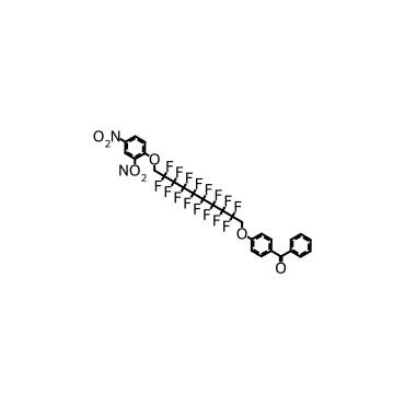 O=C(c1ccccc1)c1ccc(OCC(F)(F)C(F)(F)C(F)(F)C(F)(F)C(F)(F)C(F)(F)C(F)(F)C(F)(F)COc2ccc([N+](=O)[O-])cc2[N+](=O)[O-])cc1